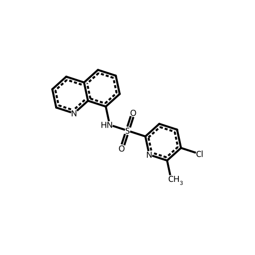 Cc1nc(S(=O)(=O)Nc2cccc3cccnc23)ccc1Cl